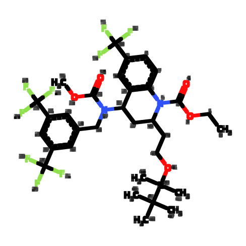 CCOC(=O)N1c2ccc(C(F)(F)F)cc2C(N(Cc2cc(C(F)(F)F)cc(C(F)(F)F)c2)C(=O)OC)CC1CCO[Si](C)(C)C(C)(C)C